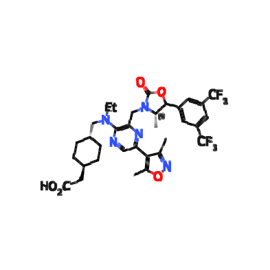 CCN(C[C@H]1CC[C@H](CC(=O)O)CC1)c1ncc(-c2c(C)noc2C)nc1CN1C(=O)OC(c2cc(C(F)(F)F)cc(C(F)(F)F)c2)[C@@H]1C